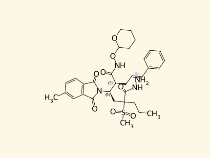 CCCC(C[C@H]([C@H](C/C=C/c1ccccc1)C(=O)NOC1CCCCO1)N1C(=O)c2ccc(C)cc2C1=O)(C(=O)NN)S(C)(=O)=O